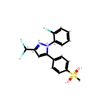 CS(=O)(=O)c1ccc(-c2cc(C(F)F)nn2-c2ccccc2F)cc1